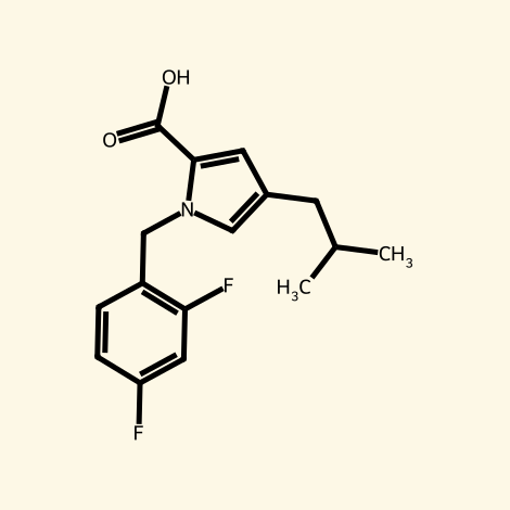 CC(C)Cc1cc(C(=O)O)n(Cc2ccc(F)cc2F)c1